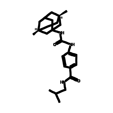 CC(C)CNC(=O)c1ccc(NC(=O)NC23CC4C[C@@](C)(C2)C[C@](C)(C4)C3)cc1